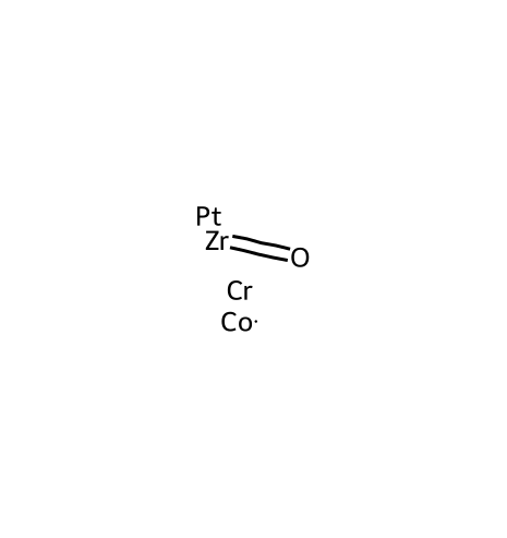 [Co].[Cr].[O]=[Zr].[Pt]